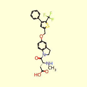 CN[C@H](CC(=O)O)C(=O)N1CCc2cc(OCc3cc(-c4ccccc4)c(C(F)(F)F)s3)ccc21